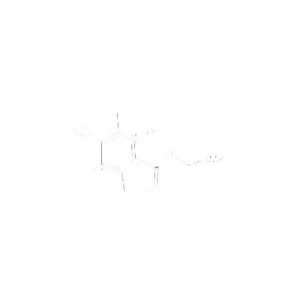 COCOC(=O)c1c(C)c(C)c(O)c(C)c1Br